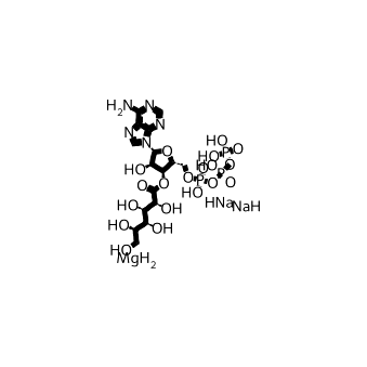 Nc1ncnc2c1ncn2[C@@H]1O[C@H](COP(=O)(O)OP(=O)(O)OP(=O)(O)O)[C@@H](OC(=O)[C@H](O)[C@@H](O)[C@H](O)[C@H](O)CO)[C@H]1O.[MgH2].[NaH].[NaH]